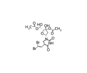 CC(=O)OC(O)[C@H]1O[C@@H](n2cc(C=C(Br)Br)c(=O)[nH]c2=O)C[C@@]1(O)OC(C)=O